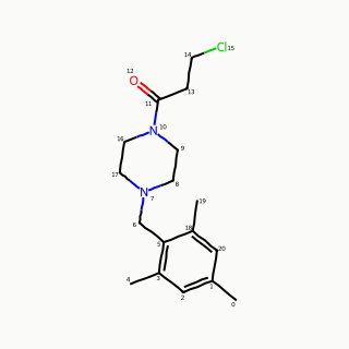 Cc1cc(C)c(CN2CCN(C(=O)CCCl)CC2)c(C)c1